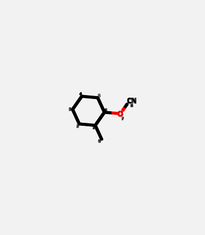 CC1CCCCC1OC#N